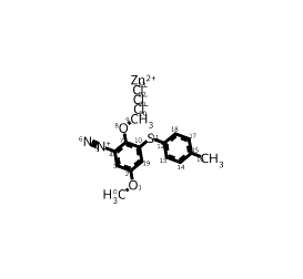 COc1cc([N+]#N)c(OC)c(Sc2ccc(C)cc2)c1.[Cl-].[Cl-].[Cl-].[Zn+2]